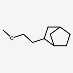 COCCC1CC2CCC1C2